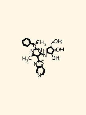 Cc1nc(N(C)c2ccccc2)nc(N[C@@H]2C[C@H](CO)[C@@H](O)[C@H]2O)c1-c1nc2cnccc2s1